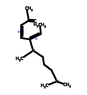 C=C(C)/C=C\C(=C/C)N(C)CCCN(C)C